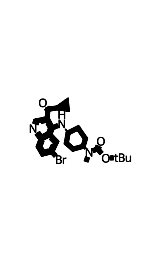 CN(C(=O)OC(C)(C)C)[C@H]1CC[C@H](Nc2c(C(=O)C3CC3)cnc3ccc(Br)cc23)CC1